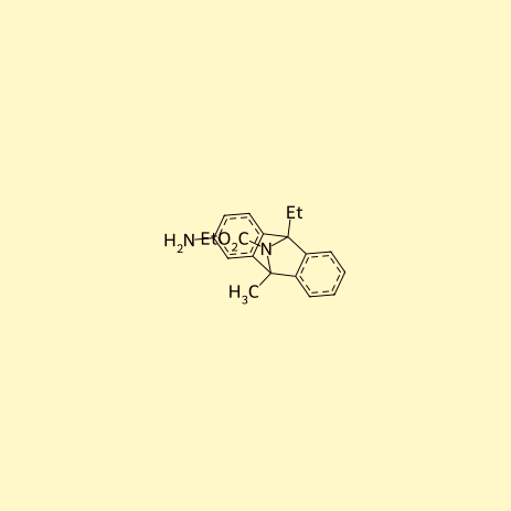 CCOC(=O)N1C2(C)c3ccccc3C1(CC)c1ccc(N)cc12